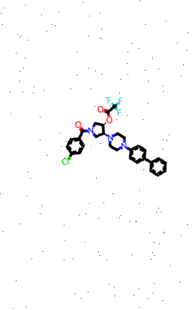 O=C(c1ccc(Cl)cc1)N1C[C@H](OC(=O)C(F)(F)F)[C@@H](N2CCN(c3ccc(-c4ccccc4)cc3)CC2)C1